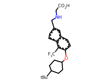 CC(C)(C)C1CCC(Oc2ccc3cc(CNCC(=O)O)ccc3c2C(F)(F)F)CC1